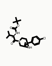 CC(C)[C@@H](NC(=O)OC(C)(C)C)C(=O)N1CCC2(c3ccc(Cl)cc3)NC2(C)C1